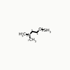 CN(C)CCO[SiH3]